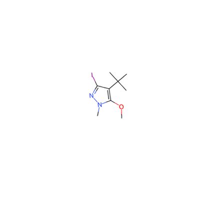 COc1c(C(C)(C)C)c(I)nn1C